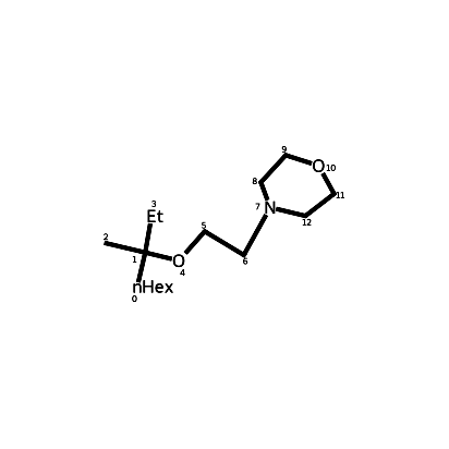 CCCCCCC(C)(CC)OCCN1CCOCC1